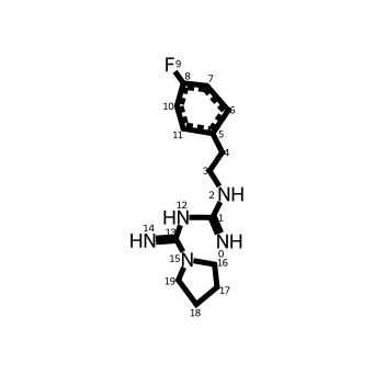 N=C(NCCc1ccc(F)cc1)NC(=N)N1CCCC1